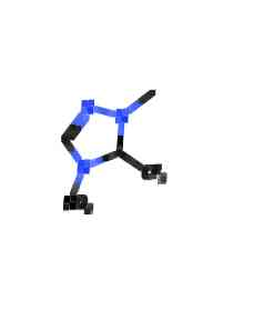 CN1N=CN([N+](=O)[O-])C1C(F)(F)F